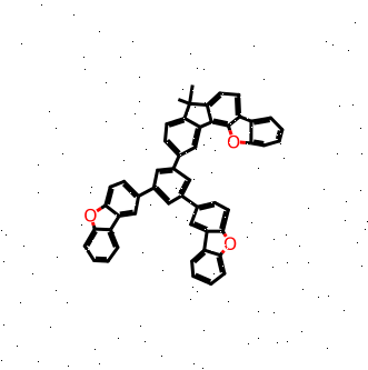 CC1(C)c2ccc(-c3cc(-c4ccc5oc6ccccc6c5c4)cc(-c4ccc5oc6ccccc6c5c4)c3)cc2-c2c1ccc1c2oc2ccccc21